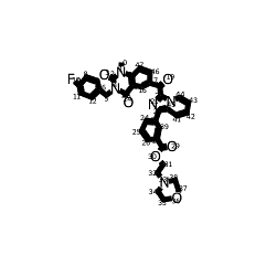 Cn1c(=O)n(Cc2ccc(F)cc2)c(=O)c2cc(C(=O)c3nc(-c4cccc(C(=O)OCCN5CCOCC5)c4)c4ccccn34)ccc21